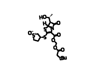 C[C@@H](O)[C@H]1C(=O)N2C(C(=O)OCOC(=O)CC(C)(C)C)=C(S[C@H]3CC[S@@+]([O-])C3)S[C@H]12